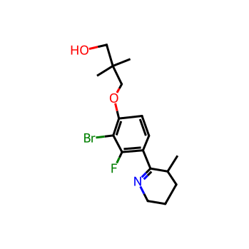 CC1CCCN=C1c1ccc(OCC(C)(C)CO)c(Br)c1F